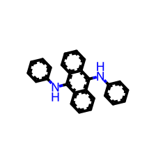 c1ccc(Nc2c3ccccc3c(Nc3ccccc3)c3ccccc23)cc1